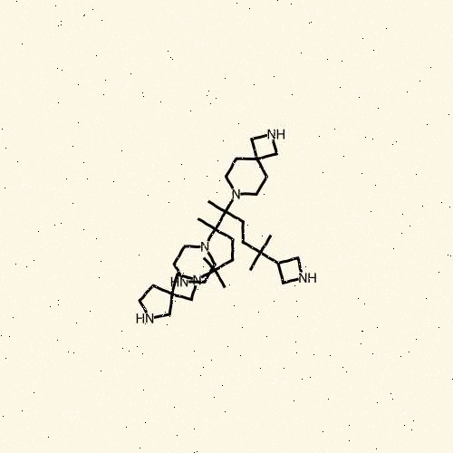 CC(C)(CCC(C)(N1CCC2(CC1)CNC2)C(C)(CCC(C)(C)N1CC2(CCNC2)C1)N1CCNCC1)C1CNC1